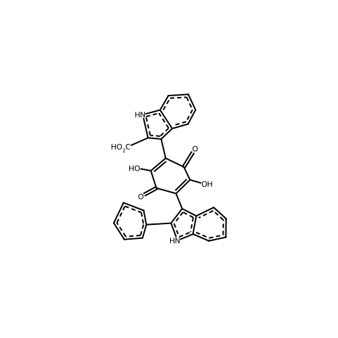 O=C1C(O)=C(c2c(-c3ccccc3)[nH]c3ccccc23)C(=O)C(O)=C1c1c(C(=O)O)[nH]c2ccccc12